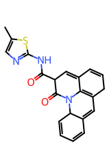 Cc1cnc(NC(=O)C2C=C3C=CCC4=C3N(C2=O)C2C=CC=CC2=C4)s1